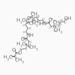 C=C(C)C(=O)OCC[N+](C)(C)CC(=O)NCCC[Si](C)(C)O[Si](C)(C)CCCNC(=O)C[N+](C)(C)CCCO